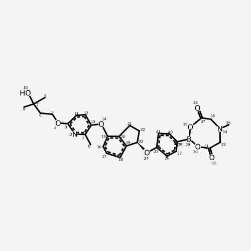 Cc1nc(OCCC(C)(C)O)ccc1Oc1cccc2c1CC[C@H]2Oc1ccc(B2OC(=O)CN(C)CC(=O)O2)cc1